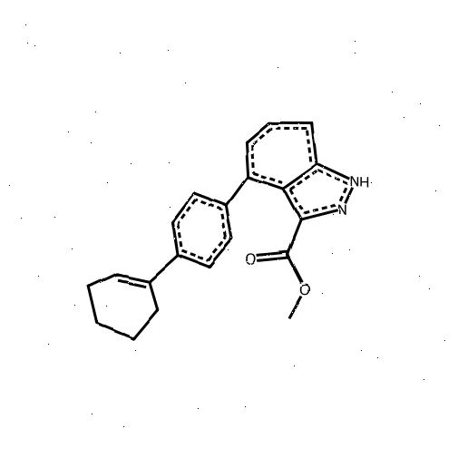 COC(=O)c1n[nH]c2cccc(-c3ccc(C4=CCCCC4)cc3)c12